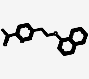 CC(=O)c1ccc(CCOc2cccc3ccccc23)cn1